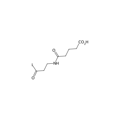 O=C(O)CCCC(=O)NCCC(=O)I